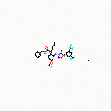 CCCCN(C(=O)OCc1ccccc1)c1ccc(OC(F)(F)F)cc1CN1C(=O)O[C@H](c2cc(C(F)(F)F)cc(C(F)(F)F)c2)[C@@H]1C